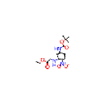 CCOC(=O)CNc1cc(NC(=O)OC(C)(C)C)ccc1[N+](=O)[O-]